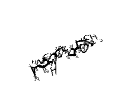 Cc1cc(C2CCN(c3ncc(Cl)c(Nc4cc(C5CC5)[nH]n4)n3)C2)on1